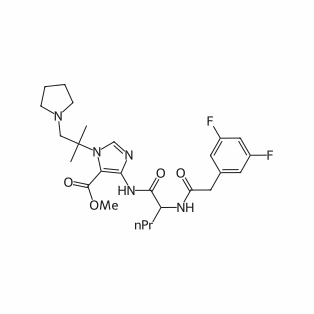 CCCC(NC(=O)Cc1cc(F)cc(F)c1)C(=O)Nc1ncn(C(C)(C)CN2CCCC2)c1C(=O)OC